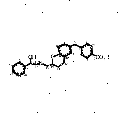 O=C(O)c1ccc(Cc2ccc3c(c2)CCC(CNCC(O)c2cccnc2)O3)cc1